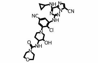 N#Cc1cc(Nc2nc(NC3CC3)c3ncc(C#N)n3n2)c(Cl)c(N2CCC(NC(=O)N3CCOCC3)C(O)C2)c1